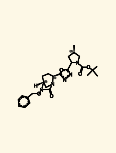 C[C@@H]1CC(c2nnc([C@@H]3CC[C@@H]4CN3C(=O)N4OCc3ccccc3)o2)N(C(=O)OC(C)(C)C)C1